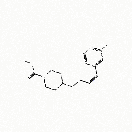 Cc1cc(/C=C\CCC2CCN(C(=O)OC(C)(C)C)CC2)ccn1